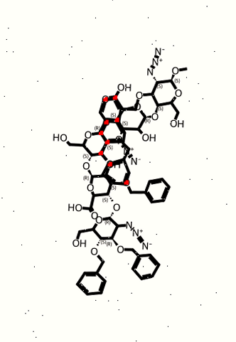 CO[C@H]1OC(CO)[C@@H](O[C@@H]2OC(C(=O)O)[C@@H](O[C@H]3OC(CO)[C@@H](O[C@@H]4OC(C(=O)O)[C@@H](O[C@H]5OC(CO)[C@@H](OCc6ccccc6)[C@H](OCc6ccccc6)C5N=[N+]=[N-])[C@H](OCc5ccccc5)C4OCc4ccccc4)C(O)[C@@H]3N=[N+]=[N-])[C@@H](OCc3ccccc3)C2O)C(OCc2ccccc2)[C@@H]1N=[N+]=[N-]